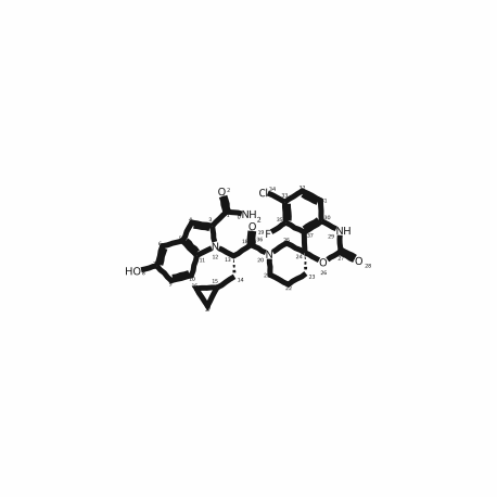 NC(=O)c1cc2cc(O)ccc2n1[C@@H](CC1CC1)C(=O)N1CCC[C@@]2(C1)OC(=O)Nc1ccc(Cl)c(F)c12